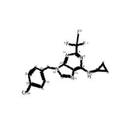 FC(F)(F)c1nc(NC2CC2)c2ncn(Cc3ccc(Cl)cc3)c2n1